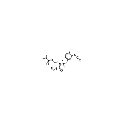 C=C(C)C(=O)OCCN(C(N)=O)C(C)(C)Cc1ccc(C)c(N=C=O)c1